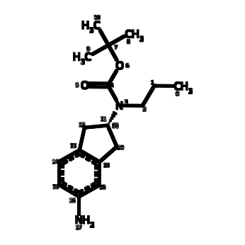 CCCN(C(=O)OC(C)(C)C)[C@H]1Cc2ccc(N)cc2C1